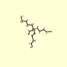 CCCCC[N+](CC)(CCCCC)CCCCC